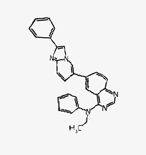 CCN(c1ccccc1)c1ncnc2ccc(-c3ccc4nc(-c5ccccc5)cn4c3)cc12